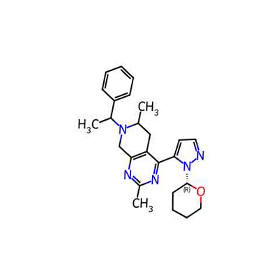 Cc1nc2c(c(-c3ccnn3[C@H]3CCCCO3)n1)CC(C)N(C(C)c1ccccc1)C2